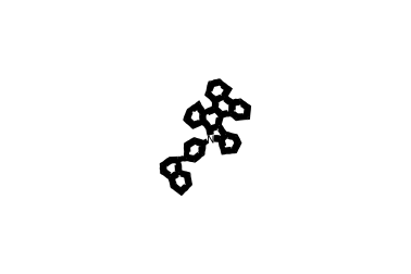 c1ccc2c(-c3ccc(-n4c5ccccc5c5c6c7ccccc7c7ccccc7c6c6ccccc6c54)cc3)cccc2c1